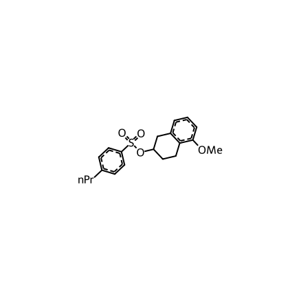 CCCc1ccc(S(=O)(=O)OC2CCc3c(cccc3OC)C2)cc1